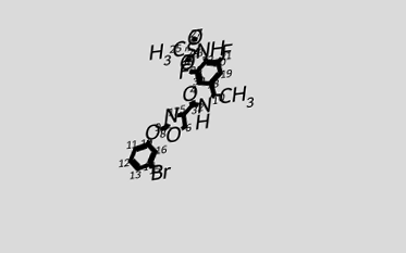 C[C@@H](NC(=O)C1COC(Oc2cccc(Br)c2)=N1)c1cc(F)c(NS(C)(=O)=O)c(F)c1